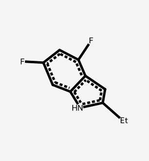 CCc1cc2c(F)cc(F)cc2[nH]1